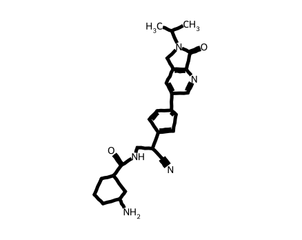 CC(C)N1Cc2cc(-c3ccc(C(C#N)CNC(=O)C4CCCC(N)C4)cc3)cnc2C1=O